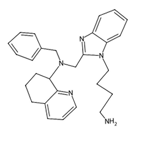 NCCCCn1c(CN(Cc2ccccc2)C2CCCc3cccnc32)nc2ccccc21